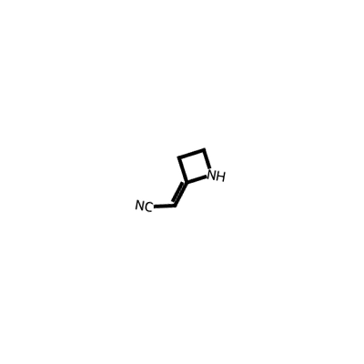 N#CC=C1CCN1